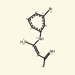 CC(=N)/C=C(/N)Nc1cccc(Br)c1